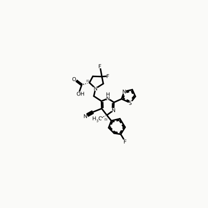 C[C@@]1(c2ccc(F)cc2)N=C(c2nccs2)NC(CN2CC(F)(F)C[C@H]2C(=O)O)=C1C#N